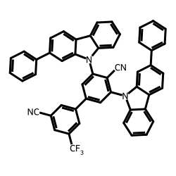 N#Cc1cc(-c2cc(-n3c4ccccc4c4ccc(-c5ccccc5)cc43)c(C#N)c(-n3c4ccccc4c4ccc(-c5ccccc5)cc43)c2)cc(C(F)(F)F)c1